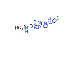 O=C(O)N[C@H]1CC[C@H](Nc2nccn3c(-c4cccc(NCc5ccc(Cl)cc5)n4)cnc23)CC1